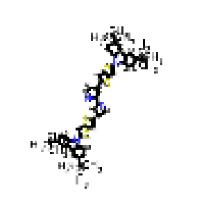 CC(C)(C)c1ccc2c(c1)c1cc(C(C)(C)C)ccc1n2-c1cc2sc(-c3ccnc(-c4cc(-c5cc6sc(-n7c8ccc(C(C)(C)C)cc8c8cc(C(C)(C)C)ccc87)cc6s5)ccn4)c3)cc2s1